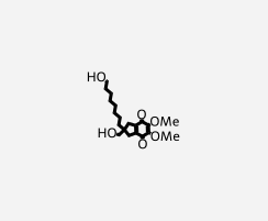 COC1=C(OC)C(=O)C2=C(CC(CO)(CCCCCCCCO)C2)C1=O